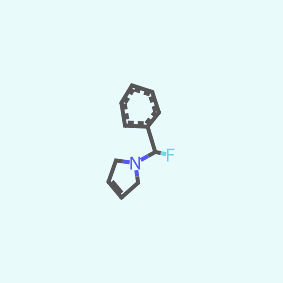 FC(c1ccccc1)N1CC=CC1